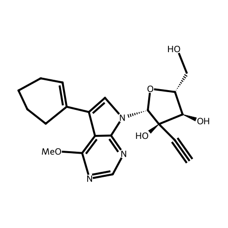 C#C[C@@]1(O)[C@H](O)[C@@H](CO)O[C@H]1n1cc(C2=CCCCC2)c2c(OC)ncnc21